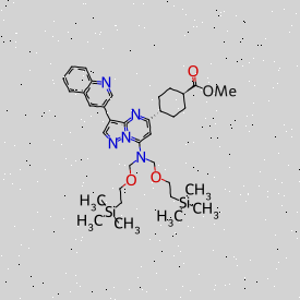 COC(=O)[C@H]1CC[C@H](c2cc(N(COCC[Si](C)(C)C)COCC[Si](C)(C)C)n3ncc(-c4cnc5ccccc5c4)c3n2)CC1